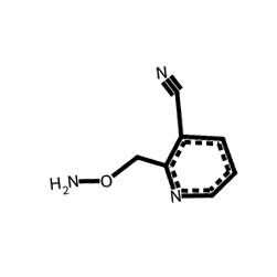 N#Cc1cccnc1CON